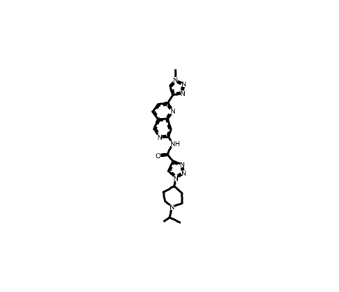 CC(C)N1CCC(n2cc(C(=O)Nc3cc4nc(-c5cn(C)nn5)ccc4cn3)nn2)CC1